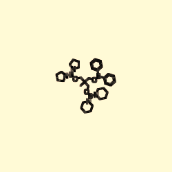 CC(COB(c1ccccc1)c1ccccc1)(COB(N1CCCCC1)N1CCCCC1)COB(N1CCCC1)N1CCCC1